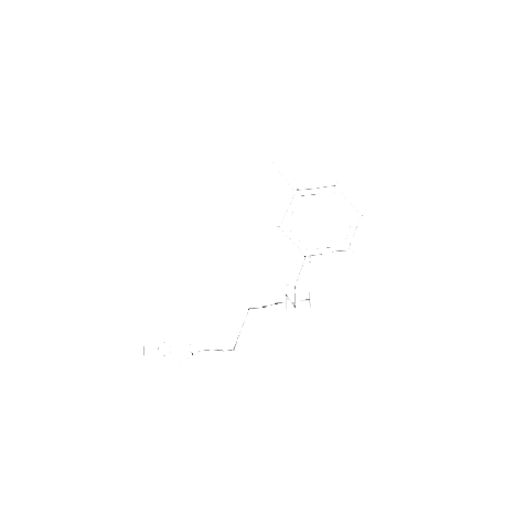 Cc1cccc(NCCS(=O)(=O)O)c1